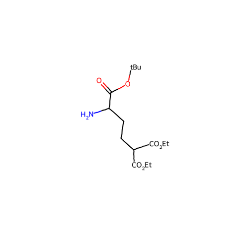 CCOC(=O)C(CCC(N)C(=O)OC(C)(C)C)C(=O)OCC